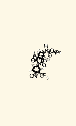 CC(C)OC(=O)N[C@@H]1C[C@@]2(C)O[C@]1(C)[C@@H]1C(=O)N(c3ccc(C#N)c(C(F)(F)F)c3)C(=O)[C@@H]12